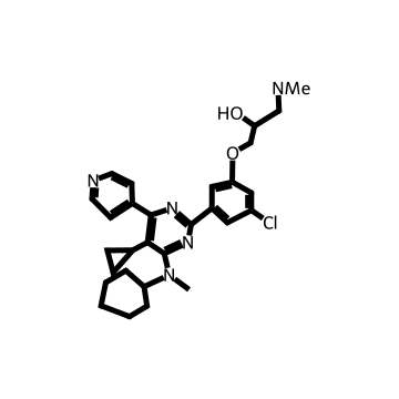 CNCC(O)COc1cc(Cl)cc(-c2nc(-c3ccncc3)c(C3CC3)c(N(C)C3CCCCC3)n2)c1